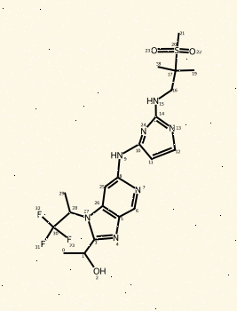 CC(O)c1nc2cnc(Nc3ccnc(NCC(C)(C)S(C)(=O)=O)n3)cc2n1C(C)C(F)(F)F